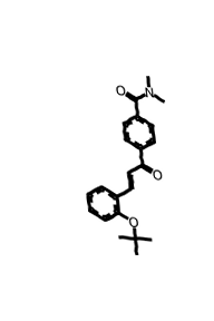 CN(C)C(=O)c1ccc(C(=O)C=Cc2ccccc2OC(C)(C)C)cc1